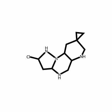 ClC1CC2NCC3NCC4(CC4)CC3N2N1